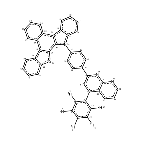 [2H]c1c([2H])c([2H])c(-c2nc(-c3ccc(-n4c5ccccc5c5c6ccccc6c6c7ccccc7sc6c54)cc3)nc3ncccc23)c([2H])c1[2H]